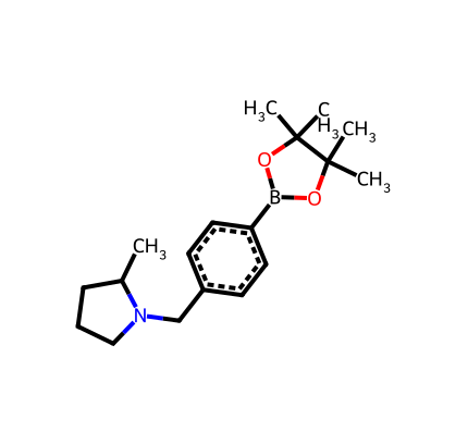 CC1CCCN1Cc1ccc(B2OC(C)(C)C(C)(C)O2)cc1